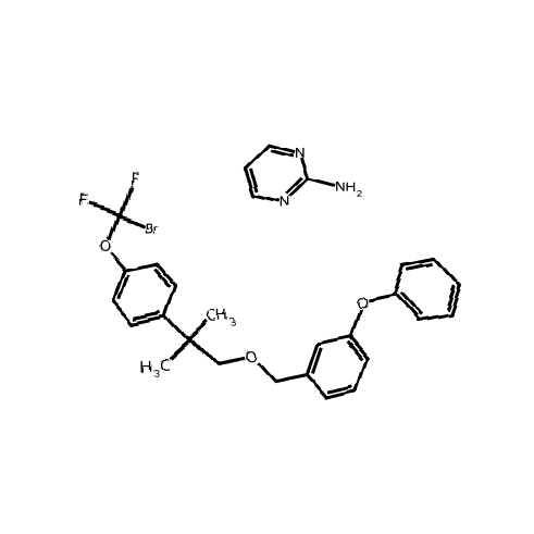 CC(C)(COCc1cccc(Oc2ccccc2)c1)c1ccc(OC(F)(F)Br)cc1.Nc1ncccn1